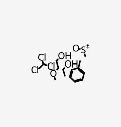 CCO.COCCO.C[S+](C)[O-].Cc1ccccc1.ClC(Cl)Cl